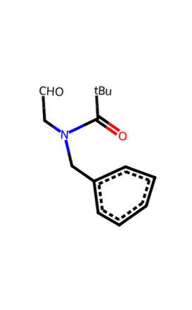 CC(C)(C)C(=O)N(CC=O)Cc1ccccc1